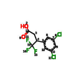 O=C(O)CC(c1cc(Cl)cc(Cl)c1)C(F)(F)F